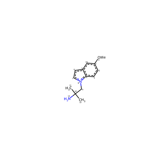 COc1ccc2c(ccn2CC(C)(C)N)c1